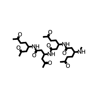 CNC(CCC(C)=O)CC(=O)NC(CCC(C)=O)CC(=O)NC(CC(C)=O)CC(=O)NC(CCC(C)=O)CC(C)=O